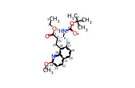 CCOC(=O)[C@H](CNC(=O)OC(C)(C)C)Cc1c(F)ccc2ccc(OC)nc12